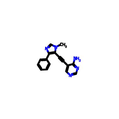 Cn1cnc(-c2ccccc2)c1C#Cc1cncnc1N